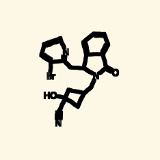 N#CC1(O)CC(CN2C(=O)c3ccccc3C2Cc2ncccc2Br)C1